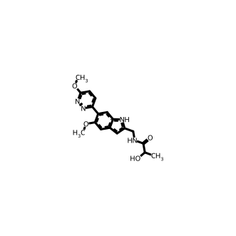 COc1ccc(-c2cc3[nH]c(CNC(=O)C(C)O)cc3cc2OC)nn1